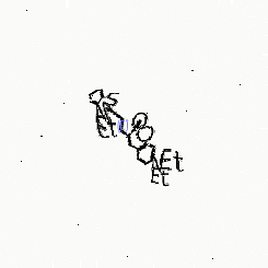 CCN(CC)c1ccc2cc(/C=C/C3Sc4ccccc4N3CC)c(=O)oc2c1